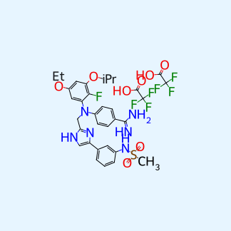 CCOc1cc(OC(C)C)c(F)c(N(Cc2nc(-c3cccc(NS(C)(=O)=O)c3)c[nH]2)c2ccc(C(=N)N)cc2)c1.O=C(O)C(F)(F)F.O=C(O)C(F)(F)F